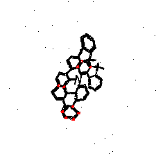 CC1(C)c2ccccc2-c2ccc(-c3ccccc3N(c3cccc(-c4ccccc4)c3-c3ccccc3-c3ccccc3)c3cccc4c3-c3ccccc3C4(C)C)cc21